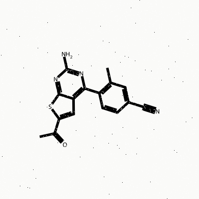 CC(=O)c1cc2c(-c3ccc(C#N)cc3C)nc(N)nc2s1